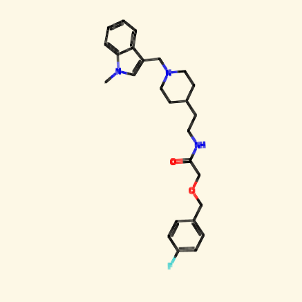 Cn1cc(CN2CCC(CCNC(=O)COCc3ccc(F)cc3)CC2)c2ccccc21